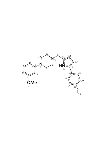 COc1cccc(N2CCN(Cc3cnc(-c4ccc(F)cc4)[nH]3)CC2)c1